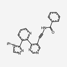 CC(C)n1cnnc1-c1cccnc1-c1ncncc1C#CNC(=O)c1ccccc1